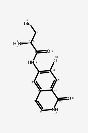 CC(C)(C)C[C@H](N)C(=O)Nc1cc2cc[nH]c(=O)c2cc1Cl